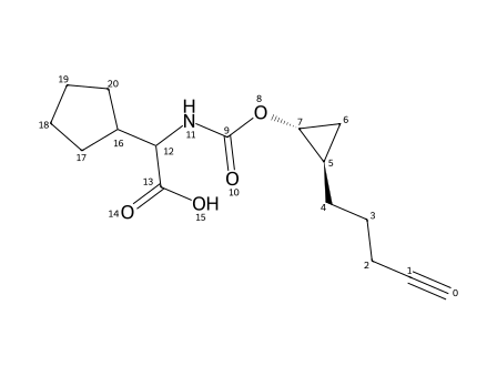 C#CCCC[C@@H]1C[C@H]1OC(=O)NC(C(=O)O)C1CCCC1